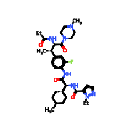 CCC(=O)N[C@@H](C(=O)N1CCN(C)CC1)[C@@H](C)c1ccc(NC(=O)[C@@H](NC(=O)c2ccnn2CC)[C@H]2CC[C@H](C)CC2)c(F)c1